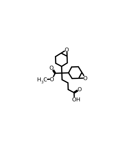 COC(=O)C(CCCC(=O)O)(C1CCC2OC2C1)C1CCC2OC2C1